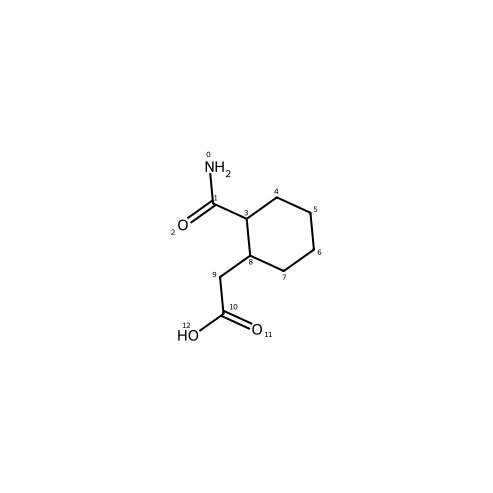 NC(=O)C1CCCCC1CC(=O)O